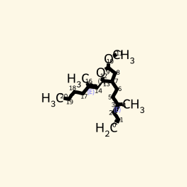 C=C/C=C(\C)CCC1CC(OC)O[C@@H]1/C=C(\C)CCCC